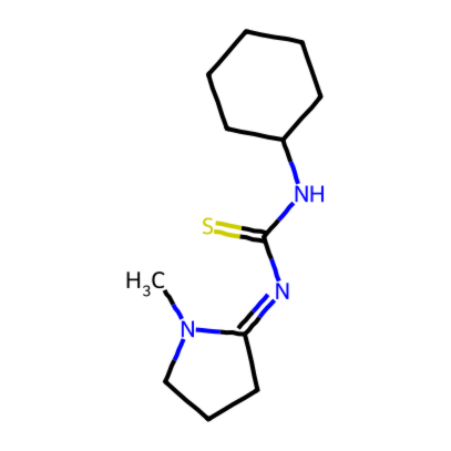 CN1CCCC1=NC(=S)NC1CCCCC1